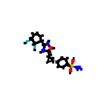 NS(=O)(=O)c1ccc([C@@H]2C[C@H]2c2nc(-c3cccc(F)c3F)no2)cc1